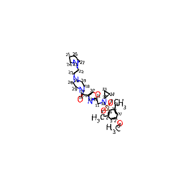 COc1cc(C)c(S(=O)(=O)N(Cc2nc(C(=O)N3CCN(CCN4CCCC4)CC3)co2)C2CC2)c(C)c1